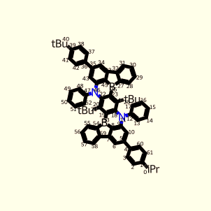 CC(C)c1ccc(-c2cc3c4c(c2)N(c2ccccc2)c2c(c(C(C)(C)C)c5c(c2C(C)(C)C)B2c6ccccc6-c6cc(-c7ccc(C(C)(C)C)cc7)cc(c62)N5c2ccccc2)B4c2ccccc2-3)cc1